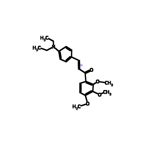 CCN(CC)c1ccc(/C=C/C(=O)c2ccc(OC)c(OC)c2OC)cc1